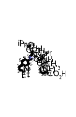 CCc1ccc2ccc(/C=C/[C@@H](C(=O)N[C@H](C(=O)N[C@@H](C)C(=O)N3CCC[C@@H](C(=O)O)N3)C(C)C)[C@H](C)OC(=O)C(C)C)cc2n1